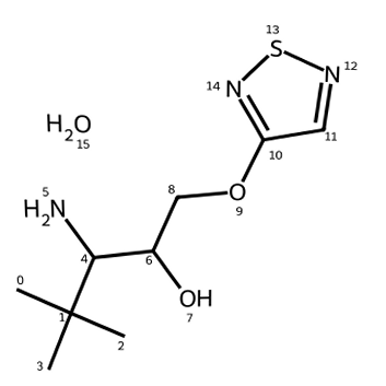 CC(C)(C)C(N)C(O)COc1cnsn1.O